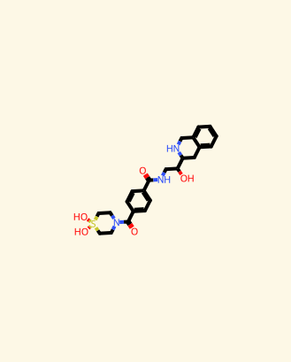 O=C(NCC(O)C1Cc2ccccc2CN1)c1ccc(C(=O)N2CCS(O)(O)CC2)cc1